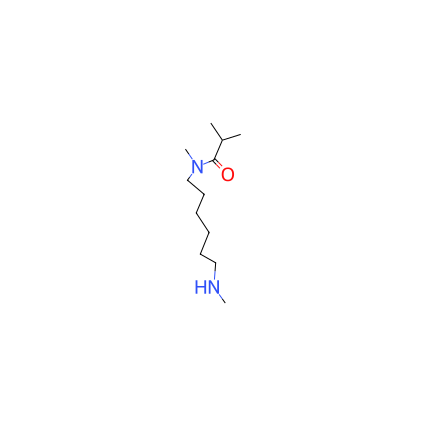 CNCCCCCCN(C)C(=O)C(C)C